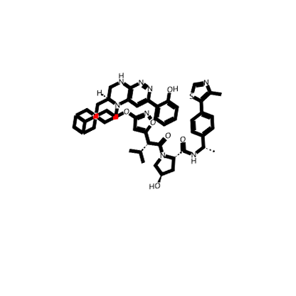 Cc1ncsc1-c1ccc([C@H](C)NC(=O)[C@@H]2C[C@@H](O)CN2C(=O)[C@@H](c2cc(OCCN3CC4CC(C3)C4N3CCN4c5cc(-c6ccccc6O)nnc5NC[C@@H]4C3)no2)C(C)C)cc1